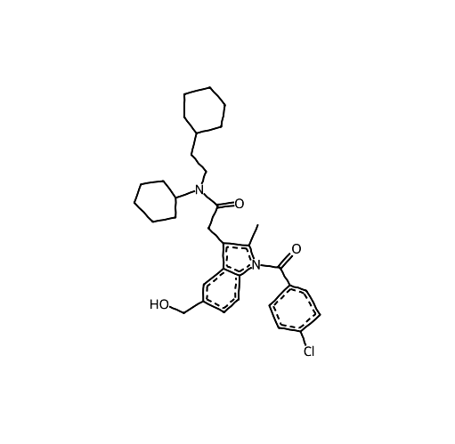 Cc1c(CC(=O)N(CCC2CCCCC2)C2CCCCC2)c2cc(CO)ccc2n1C(=O)c1ccc(Cl)cc1